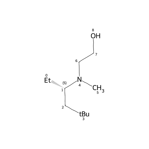 CC[C@@H](CC(C)(C)C)N(C)CCO